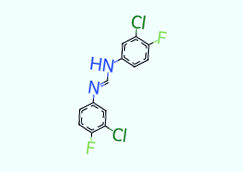 Fc1ccc(N=CNc2ccc(F)c(Cl)c2)cc1Cl